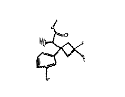 COC(=O)C(O)C1(c2cccc(Br)c2)CC(F)(F)C1